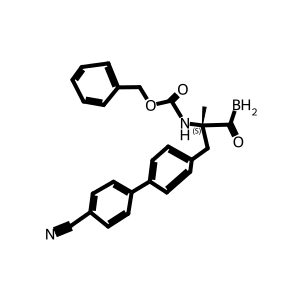 BC(=O)[C@](C)(Cc1ccc(-c2ccc(C#N)cc2)cc1)NC(=O)OCc1ccccc1